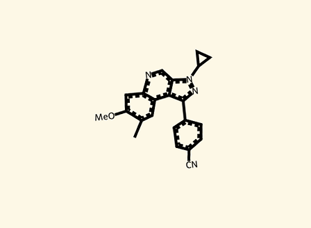 COc1cc2ncc3c(c(-c4ccc(C#N)cc4)nn3C3CC3)c2cc1C